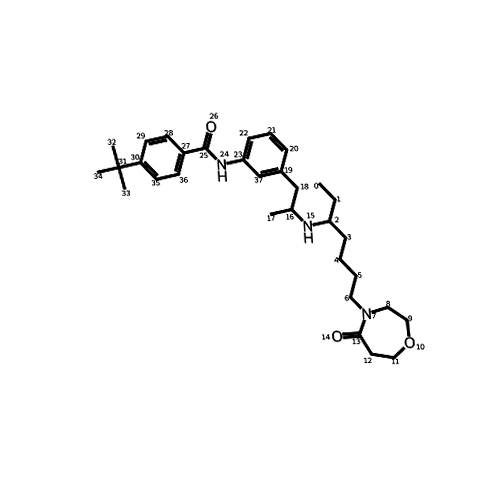 CCC(CCCCN1CCOCCC1=O)NC(C)Cc1cccc(NC(=O)c2ccc(C(C)(C)C)cc2)c1